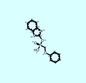 O=P(O)(COc1ccccc1)Oc1nc2ccccc2s1